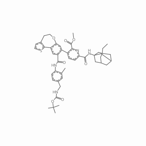 CCC12CC3CC(C1)CC(NC(=O)c1ccc(-c4cc5c(cc4C(=O)Nc4ccc(CNC(=O)OC(C)(C)C)cc4C)-c4sccc4CCO5)c(C(=O)OC)n1)(C3)C2